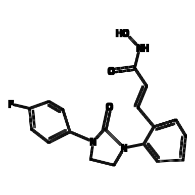 O=C(C=Cc1ccccc1N1CCN(c2ccc(F)cc2)C1=O)NO